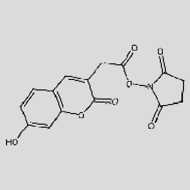 O=C(Cc1cc2ccc(O)cc2oc1=O)ON1C(=O)CCC1=O